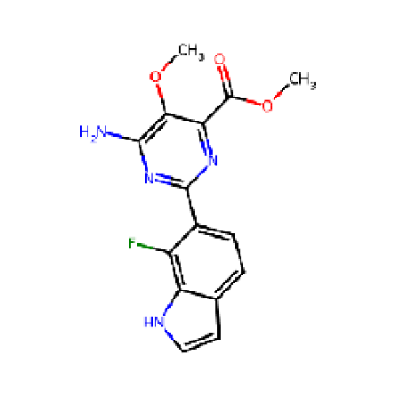 COC(=O)c1nc(-c2ccc3cc[nH]c3c2F)nc(N)c1OC